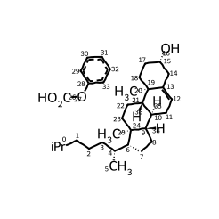 CC(C)CCC[C@@H](C)[C@H]1CC[C@H]2[C@@H]3CC=C4C[C@@H](O)CC[C@]4(C)[C@H]3CC[C@]12C.O=C(O)Oc1ccccc1